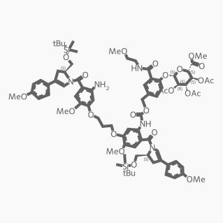 COCCNC(=O)c1cc(COC(=O)Nc2cc(OCCCOc3cc(N)c(C(=O)N4C=C(c5ccc(OC)cc5)C[C@H]4CO[Si](C)(C)C(C)(C)C)cc3OC)c(OC)cc2C(=O)N2C=C(c3ccc(OC)cc3)C[C@H]2CO[Si](C)(C)C(C)(C)C)ccc1O[C@@H]1O[C@H](C(=O)OC)[C@@H](OC(C)=O)[C@H](OC(C)=O)[C@H]1OC(C)=O